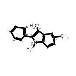 Cc1ccc2c(c1)c(C)c(-c1ccccc1)n2C